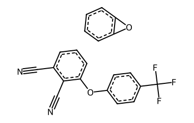 N#Cc1cccc(Oc2ccc(C(F)(F)F)cc2)c1C#N.c1ccc2c(c1)O2